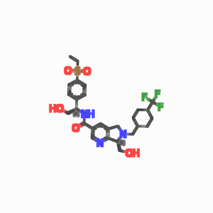 CCS(=O)(=O)c1ccc([C@H](CO)NC(=O)c2cnc3c(c2)CN(CC2CCC(C(F)(F)F)CC2)[C@H]3CO)cc1